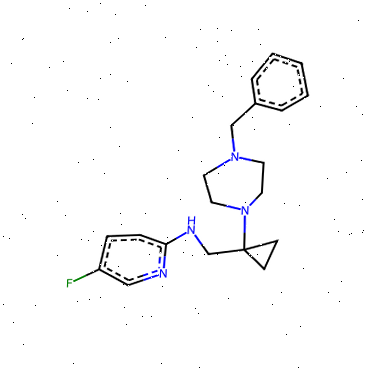 Fc1ccc(NCC2(N3CCN(Cc4ccccc4)CC3)CC2)nc1